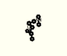 C1=Cc2c(n(-c3cccc4c3oc3cccc(-c5ccc(-n6c(-c7ccccc7)nc7ccccc76)cc5)c34)c3ccc(-c4ccccc4)cc23)C1